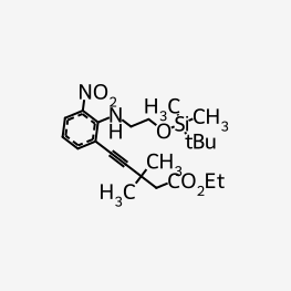 CCOC(=O)CC(C)(C)C#Cc1cccc([N+](=O)[O-])c1NCCO[Si](C)(C)C(C)(C)C